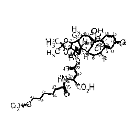 CC1(C)O[C@@H]2C[C@H]3[C@@H]4C[C@H](F)C5=CC(=O)C=C[C@]5(C)[C@H]4[C@@H](O)C[C@]3(C)[C@]2(C(=O)COC(=O)CC(NC(=O)CCCCCO[N+](=O)[O-])C(=O)O)O1